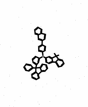 CC1(C)c2ccccc2-c2ccc(N(c3ccc(-c4ccc5ccccc5c4)cc3)c3cccc(C4(c5ccccc5)c5ccccc5-c5ccccc54)c3)cc21